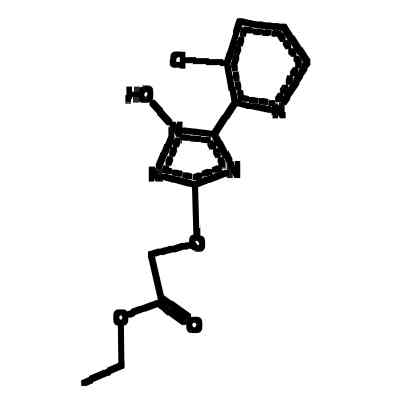 CCOC(=O)COc1nc(-c2ncccc2Cl)n(O)n1